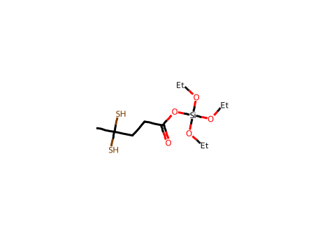 CCO[Si](OCC)(OCC)OC(=O)CCC(C)(S)S